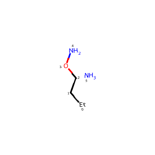 CCCCON.N